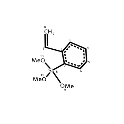 C=Cc1ccccc1[Si](OC)(OC)OC